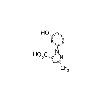 O=C(O)c1cc(C(F)(F)F)nn1-c1cccc(O)c1